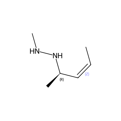 C/C=C\[C@@H](C)NNC